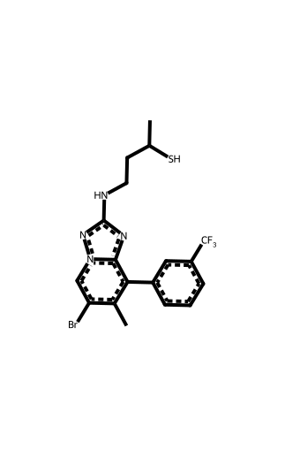 Cc1c(Br)cn2nc(NCCC(C)S)nc2c1-c1cccc(C(F)(F)F)c1